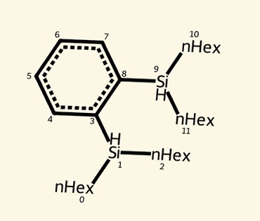 CCCCCC[SiH](CCCCCC)c1ccccc1[SiH](CCCCCC)CCCCCC